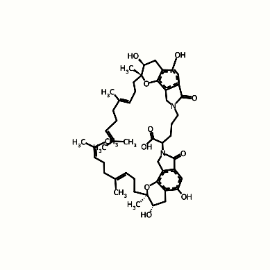 CC(C)=CCC/C(C)=C/CC[C@@]1(C)Oc2c(c(O)cc3c2CN(CCCC(C(=O)O)N2Cc4c(cc(O)c5c4O[C@](C)(CC/C=C(\C)CCC=C(C)C)[C@@H](O)C5)C2=O)C3=O)C[C@@H]1O